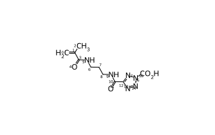 C=C(C)C(=O)NCCCNC(=O)c1nnn(C(=O)O)n1